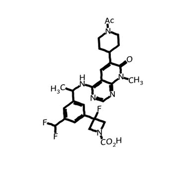 CC(=O)N1CCC(c2cc3c(NC(C)c4cc(C(F)F)cc(C5(F)CN(C(=O)O)C5)c4)ncnc3n(C)c2=O)CC1